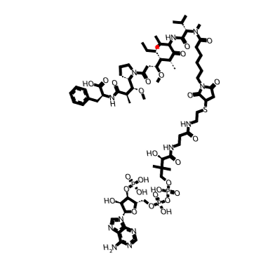 CC[C@H](C)[C@@H]([C@@H](CC(=O)N1CCC[C@H]1[C@H](OC)[C@@H](C)C(=O)N[C@@H](Cc1ccccc1)C(=O)O)OC)[C@@H](C)C(=O)C(NC(=O)[C@H](C(C)C)N(C)C(=O)CCCCCN1C(=O)CC(SCCNC(=O)CCNC(=O)[C@H](O)C(C)(C)COP(=O)(O)OP(=O)(O)OC[C@@H]2O[C@H](n3cnc4c(N)ncnc43)[C@@H](O)[C@H]2OP(=O)(O)O)C1=O)C(C)C